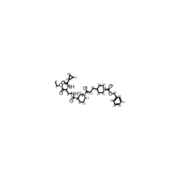 CCOC(=O)C(CNC(=O)[C@@H]1CCCN(C(=O)CCC2CCN(C(=O)OCc3ccccc3)CC2)C1)NC(=O)C1CC1